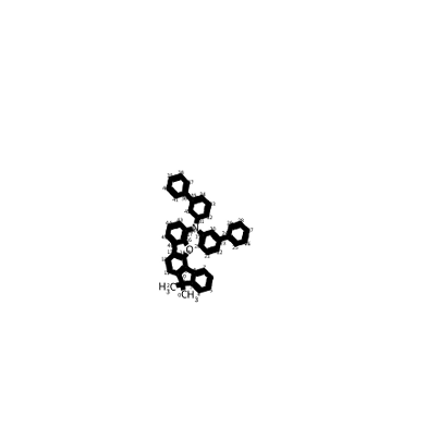 CC1(C)c2ccccc2-c2c1ccc1c2oc2c(N(c3cccc(-c4ccccc4)c3)C3C=CC=C(c4ccccc4)C3)cccc21